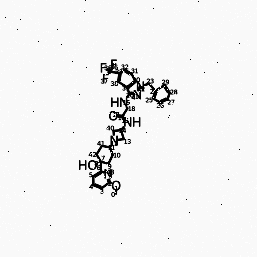 COc1cccc([C@]2(O)CC[C@H](N3CC(NC(=O)CNc4nn(Cc5ccccc5)c5ccc(C(F)(F)F)cc45)C3)CC2)n1